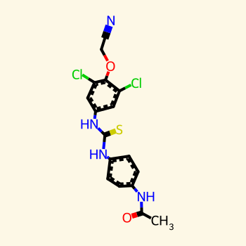 CC(=O)Nc1ccc(NC(=S)Nc2cc(Cl)c(OCC#N)c(Cl)c2)cc1